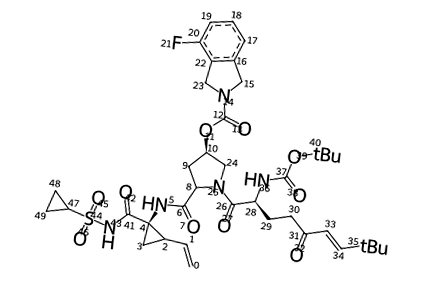 C=CC1C[C@]1(NC(=O)C1C[C@@H](OC(=O)N2Cc3cccc(F)c3C2)CN1C(=O)[C@H](CCC(=O)/C=C/C(C)(C)C)NC(=O)OC(C)(C)C)C(=O)NS(=O)(=O)C1CC1